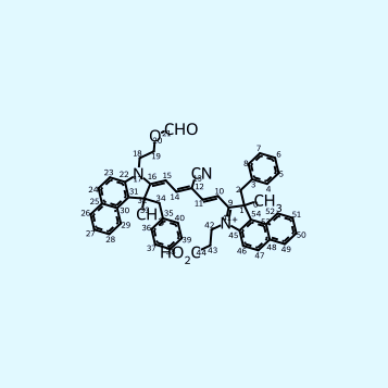 CC1(Cc2ccccc2)C(/C=C/C(C#N)=C/C=C2/N(CCOC=O)c3ccc4ccccc4c3C2(C)Cc2ccccc2)=[N+](CCC(=O)O)c2ccc3ccccc3c21